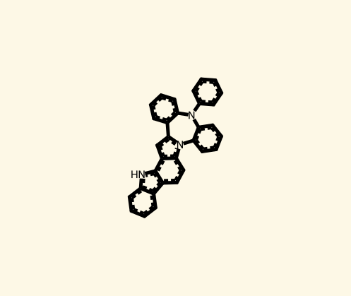 c1ccc(N2c3ccccc3-c3cc4c5[nH]c6ccccc6c5ccc4n3-c3ccccc32)cc1